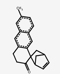 Cc1ccc2cc3c(cc2c1)CCC(=O)C31CC2C=CC1C2